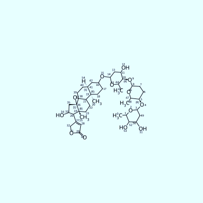 CC1OC(O[C@@H]2CCC(O[C@@H]3C(O)CC(OC4CC[C@@]5(C)C6CC[C@]7(C)C(C8=CC(=O)OC8)C(O)C[C@]78OC68CC[C@H]5C4)OC3C)OC2C)CC(O)C1O